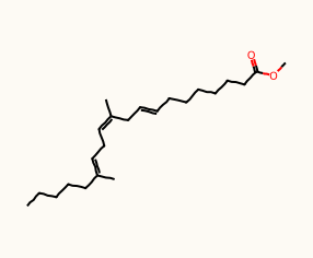 CCCCCC(C)=CCC=C(C)CC=CCCCCCCC(=O)OC